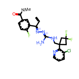 C=C/C(=N\N=C(/N)NCC1(c2ncccc2Cl)CC(F)(F)C1)c1cc(C(=O)NC)ccc1F